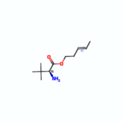 C/C=C/CCOC(=O)[C@@H](N)C(C)(C)C